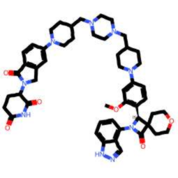 COc1cc(N2CCC(CN3CCN(CC4CCN(c5ccc6c(c5)CN(C5CCC(=O)NC5=O)C6=O)CC4)CC3)CC2)ccc1[C@@H]1N(c2cccc3[nH]ncc23)C(=O)C12CCOCC2